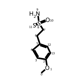 COc1ccc(CCS(N)(=O)=S)cc1